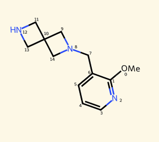 COc1ncccc1CN1CC2(CNC2)C1